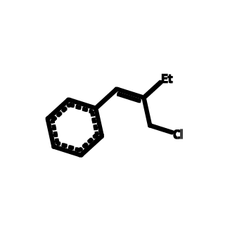 CCC(=Cc1ccccc1)CCl